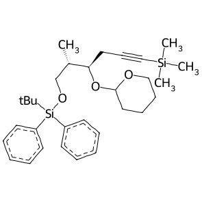 C[C@@H](CO[Si](c1ccccc1)(c1ccccc1)C(C)(C)C)[C@@H](CC#C[Si](C)(C)C)OC1CCCCO1